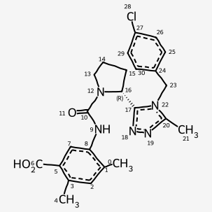 Cc1cc(C)c(C(=O)O)cc1NC(=O)N1CCC[C@@H]1c1nnc(C)n1Cc1ccc(Cl)cc1